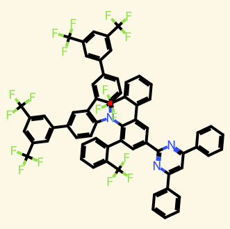 FC(F)(F)c1cc(-c2ccc3c(c2)c2cc(-c4cc(C(F)(F)F)cc(C(F)(F)F)c4)ccc2n3-c2c(-c3ccccc3C(F)(F)F)cc(-c3nc(-c4ccccc4)cc(-c4ccccc4)n3)cc2-c2ccccc2C(F)(F)F)cc(C(F)(F)F)c1